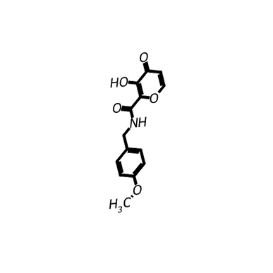 COc1ccc(CNC(=O)c2occc(=O)c2O)cc1